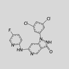 O=c1[nH]n(-c2cc(Cl)cc(Cl)c2)c2cc(Nc3ccc(F)cn3)ncc12